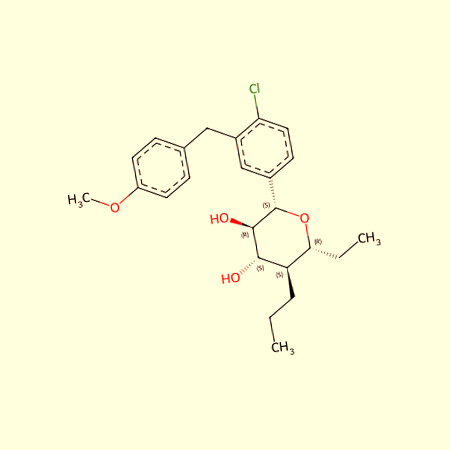 CCC[C@H]1[C@H](O)[C@@H](O)[C@H](c2ccc(Cl)c(Cc3ccc(OC)cc3)c2)O[C@@H]1CC